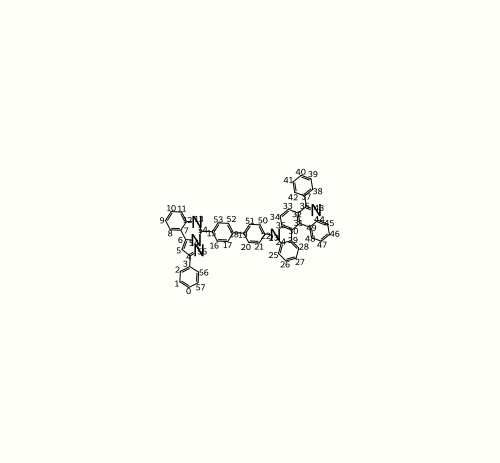 c1ccc(-c2cc3c4ccccc4nc(-c4ccc(-c5ccc(-n6c7ccccc7c7c8c(ccc76)c(-c6ccccc6)nc6ccccc68)cc5)cc4)n3n2)cc1